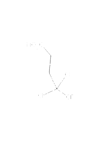 O=C(O)CCC(Cl)(Cl)C(F)(F)F